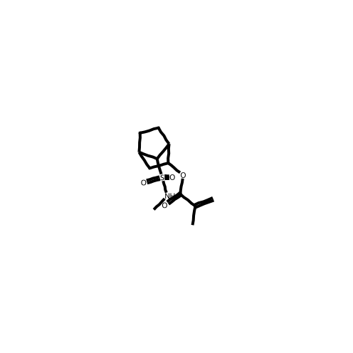 C=C(C)C(=O)OC1CC2CCC1C2S(=O)(=O)NC